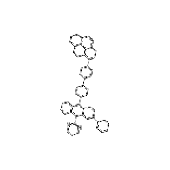 c1ccc(-c2ccc3c(-c4ccc(-c5ccc(-c6ccc7ccc8cccc9ccc6c7c89)cc5)cc4)c4ccccc4c(-c4ncccn4)c3c2)cc1